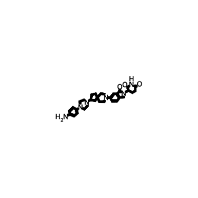 Nc1ccc(N2CCN(C3CCC4(CCN(c5ccc6c(c5)C(=O)N(C5CCC(=O)NC5=O)C6)CC4)C3)CC2)cc1